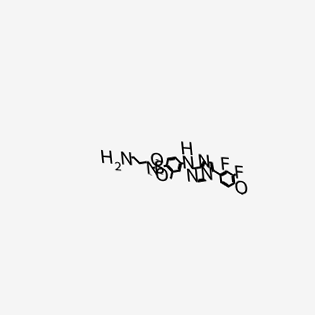 COc1ccc(-c2cnc3c(Nc4ccc(S(=O)(=O)N(C)CCCN)c(C)c4)nccn23)c(F)c1F